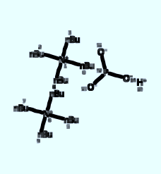 CCCC[N+](CCCC)(CCCC)CCCC.CCCC[N+](CCCC)(CCCC)CCCC.[H+].[O-]P([O-])[O-]